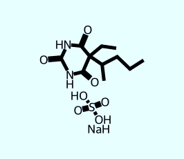 CCCC(C)C1(CC)C(=O)NC(=O)NC1=O.O=S(=O)(O)O.[NaH]